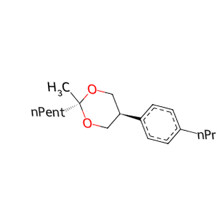 CCCCC[C@]1(C)OC[C@@H](c2ccc(CCC)cc2)CO1